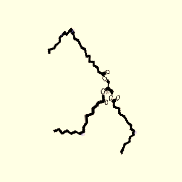 CCCCC/C=C\C/C=C\CCCCCCCCCCCC(=O)OC[C@@H](COC(=O)CCCCCCC/C=C\CCCCC)OC(=O)CCCCCCC/C=C\CCCCCC